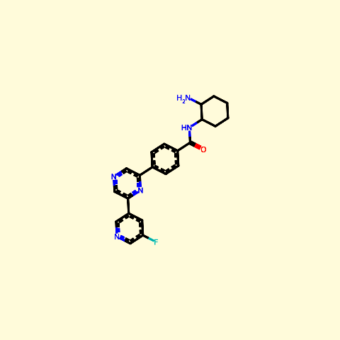 NC1CCCCC1NC(=O)c1ccc(-c2cncc(-c3cncc(F)c3)n2)cc1